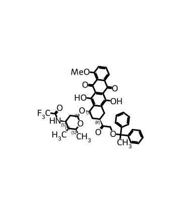 COc1cccc2c1C(=O)c1c(O)c3c(c(O)c1C2=O)C[C@@H](C(=O)COC(C)(c1ccccc1)c1ccccc1)C[C@@H]3O[C@H]1C[C@H](NC(=O)C(F)(F)F)[C@H](C)[C@H](C)O1